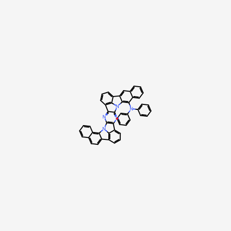 c1ccc(N(c2ccccc2)c2c3ccccc3cc3c4cccc5c6nc7c(nc6n(c23)c45)c2cccc3c4ccc5ccccc5c4n7c32)cc1